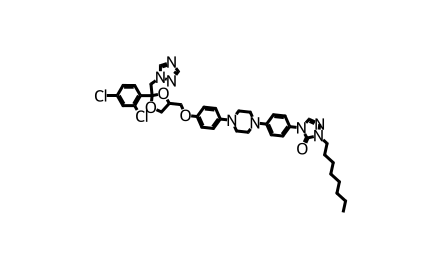 CCCCCCCCn1ncn(-c2ccc(N3CCN(c4ccc(OCC5COC(Cn6cncn6)(c6ccc(Cl)cc6Cl)O5)cc4)CC3)cc2)c1=O